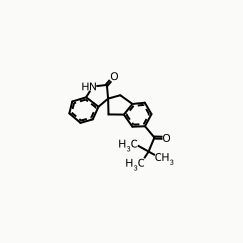 CC(C)(C)C(=O)c1ccc2c(c1)CC1(C2)C(=O)Nc2ccccc21